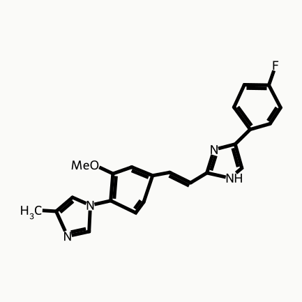 COc1cc(C=Cc2nc(-c3ccc(F)cc3)c[nH]2)ccc1-n1cnc(C)c1